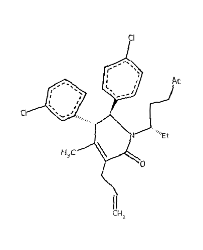 C=CCC1=C(C)[C@H](c2cccc(Cl)c2)[C@@H](c2ccc(Cl)cc2)N([C@@H](CC)CCC(C)=O)C1=O